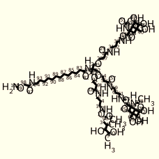 CO[C@H](CC(C)C(O)C(C)O)ONCCCNC(=O)CCOCC(COCCC(=O)NCCCNO[C@@H]1OC2C3(CO)C(C(O)[C@H]3O)C21NC(C)=O)(COCCC(=O)NCCCNO[C@@H]1OC2C3(CO)C(C(O)[C@H]3O)C21NC(C)=O)NC(=O)CCCCCCCCCCCCNC(=O)CON